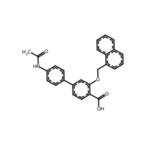 CC(=O)Nc1ccc(-c2ccc(C(=O)O)c(OCc3cccc4ccccc34)c2)cc1